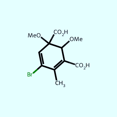 COC1C(C(=O)O)=C(C)C(Br)=CC1(OC)C(=O)O